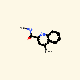 CCCCNC(=O)c1cc(OC)c2ccccc2n1